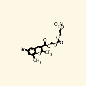 Cc1cc(Br)cc2c1OC(C(F)(F)F)C(C(=O)OCOC(=O)OCCO[N+](=O)[O-])=C2